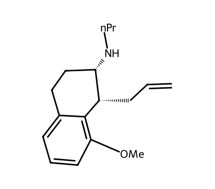 C=CC[C@@H]1c2c(cccc2OC)CC[C@@H]1NCCC